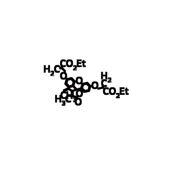 C=C(COc1ccc2c(c1)Oc1cc(OCC(=C)C(=O)OCC)ccc1C21OC(=O)C(C)=C1/C=C\C)C(=O)OCC